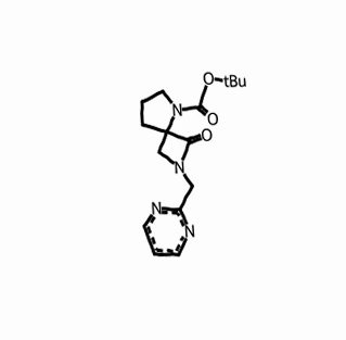 CC(C)(C)OC(=O)N1CCCC12CN(Cc1ncccn1)C2=O